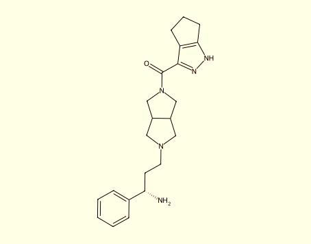 N[C@@H](CCN1CC2CN(C(=O)c3n[nH]c4c3CCC4)CC2C1)c1ccccc1